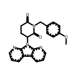 COc1ccc(CN2C(=O)CCC(n3c4ncccc4c4cccnc43)C2=O)cc1